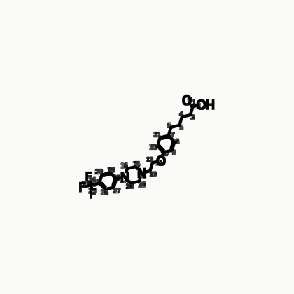 O=C(O)CCCCc1ccc(OCCN2CCN(c3ccc(C(F)(F)F)cc3)CC2)cc1